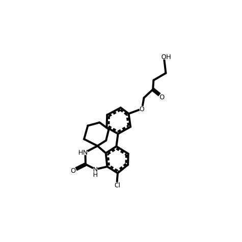 O=C(CCO)COc1cccc(-c2ccc(Cl)c3c2C2(CCCCC2)NC(=O)N3)c1